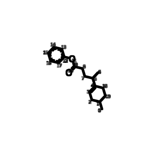 CC1CC=C(C(C)CCC(=O)Oc2ccccc2)CC1